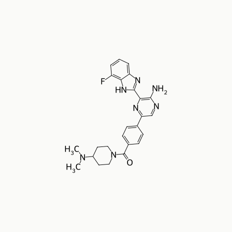 CN(C)C1CCN(C(=O)c2ccc(-c3cnc(N)c(-c4nc5cccc(F)c5[nH]4)n3)cc2)CC1